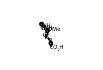 COc1cc(CC(=O)N(C)CCOc2ccc(C(=O)O)cc2)ccc1NC(=O)Nc1ccccc1Cl